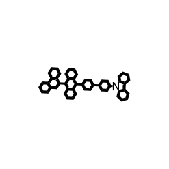 c1ccc2c(c1)cc(-c1c3ccccc3c(-c3ccc(-c4ccc(-n5c6ccccc6c6ccccc65)cc4)cc3)c3ccccc13)c1ccccc12